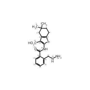 CC1(C)CCc2sc(NC(=O)c3ccccc3CNN)c(C(=O)O)c2C1